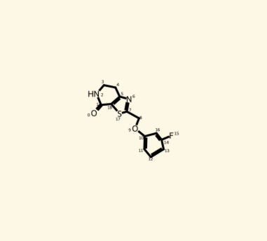 O=C1NCCc2nc(COc3cccc(F)c3)sc21